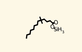 CCCCCCCCC(C)(C)CCCC(=O)O[SiH3]